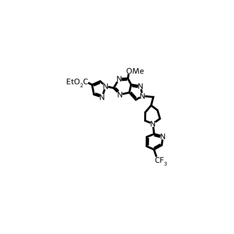 CCOC(=O)c1cnn(-c2nc(OC)c3nn(CC4CCN(c5ccc(C(F)(F)F)cn5)CC4)cc3n2)c1